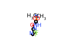 CN(C)S(=O)(=O)c1ccc(NC(=O)c2ccc(-c3ncccc3C(F)(F)F)cn2)cc1